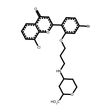 O=C(O)C1CC(NCCCOc2cc(Br)ccc2-c2cc(=O)c3cccc(Cl)c3o2)CCO1